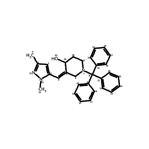 Cc1cc(C=C2CN(C(c3ccccc3)(c3ccccc3)c3ccccc3)CCC2O)n(C)n1